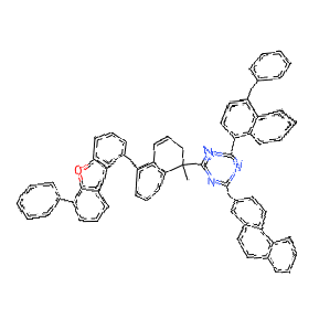 CC1(c2nc(-c3ccc4c(ccc5ccccc54)c3)nc(-c3ccc(-c4ccccc4)c4ccccc34)n2)CC=Cc2c(-c3cccc4oc5c(-c6ccccc6)cccc5c34)cccc21